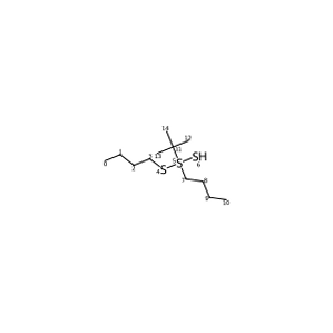 CCCCSS(S)(CCCC)C(C)(C)C